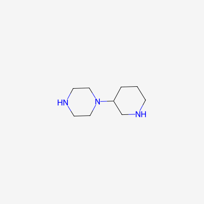 C1CNCC(N2CCNCC2)C1